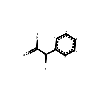 O=C(F)C(F)c1ccccc1